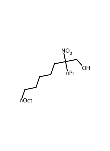 CCCCCCCCCCCCCC(CO)(CCC)[N+](=O)[O-]